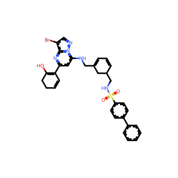 O=S(=O)(NCC1C=CC=C(CNc2cc(C3=C(O)CCC=C3)nc3c(Br)cnn23)C1)c1ccc(-c2ccccc2)cc1